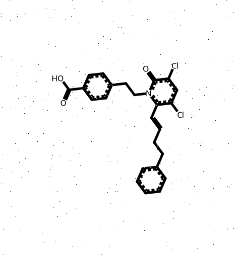 O=C(O)c1ccc(CCn2c(/C=C/CCc3ccccc3)c(Cl)cc(Cl)c2=O)cc1